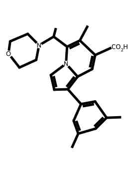 Cc1cc(C)cc(-c2ccn3c(C(C)N4CCOCC4)c(C)c(C(=O)O)cc23)c1